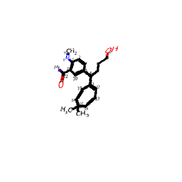 C=Nc1ccc(C(CCCO)C2=CC=CC(C)(C)C=C2)cc1C(=O)I